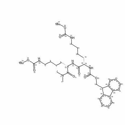 CN(C)C(=O)[C@H](CCCCNC(=O)OC(C)(C)C)NC(=O)[C@H](CCCCNC(=O)OC(C)(C)C)NC(=O)OCC1c2ccccc2-c2ccccc21